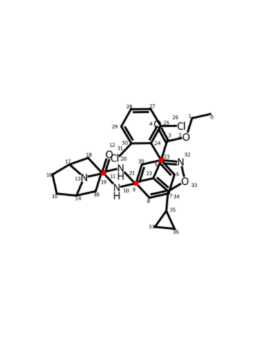 CCOC(=O)c1cccc(NC(=O)N2C3CCC2CC(NCc2c(-c4c(Cl)cccc4Cl)noc2C2CC2)C3)c1